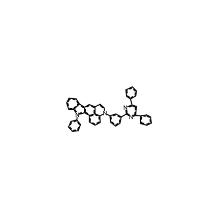 C1=CN(c2cccc(-c3nc(-c4ccccc4)cc(-c4ccccc4)n3)c2)c2cccc3c2c1cc1c2ccccc2n(-c2ccccc2)c31